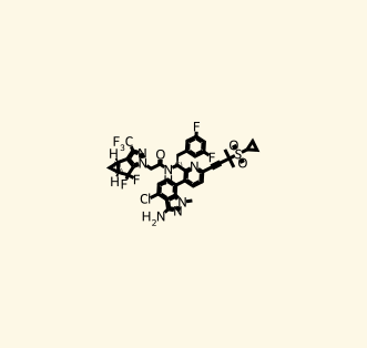 Cn1nc(N)c2c(Cl)ccc(-c3ccc(C#CC(C)(C)S(=O)(=O)C4CC4)nc3[C@H](Cc3cc(F)cc(F)c3)NC(=O)Cn3nc(C(F)(F)F)c4c3C(F)(F)[C@@H]3C[C@H]43)c21